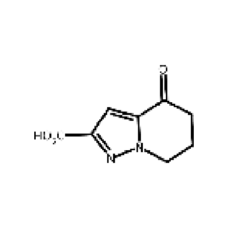 O=C(O)c1cc2n(n1)CCCC2=O